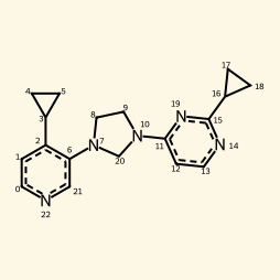 c1cc(C2CC2)c(N2CCN(c3ccnc(C4CC4)n3)C2)cn1